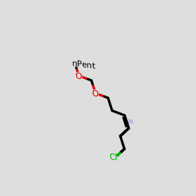 CCCCCOCOCC/C=C\CCCl